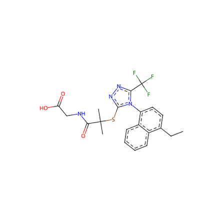 CCc1ccc(-n2c(SC(C)(C)C(=O)NCC(=O)O)nnc2C(F)(F)F)c2ccccc12